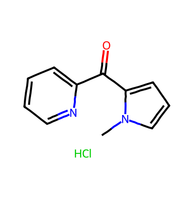 Cl.Cn1cccc1C(=O)c1ccccn1